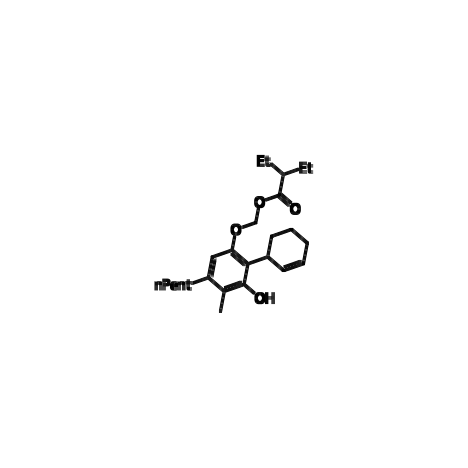 CCCCCc1cc(OCOC(=O)C(CC)CC)c(C2C=CCCC2)c(O)c1C